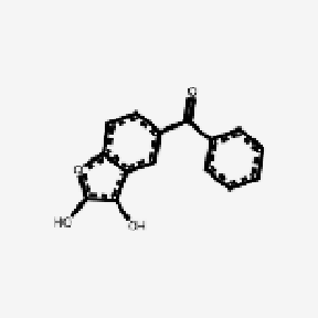 O=C(c1ccccc1)c1ccc2oc(O)c(O)c2c1